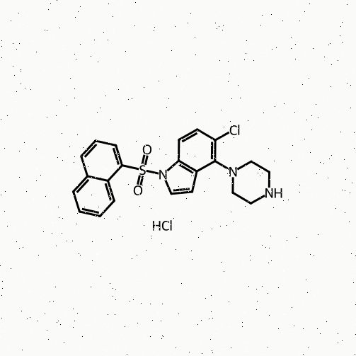 Cl.O=S(=O)(c1cccc2ccccc12)n1ccc2c(N3CCNCC3)c(Cl)ccc21